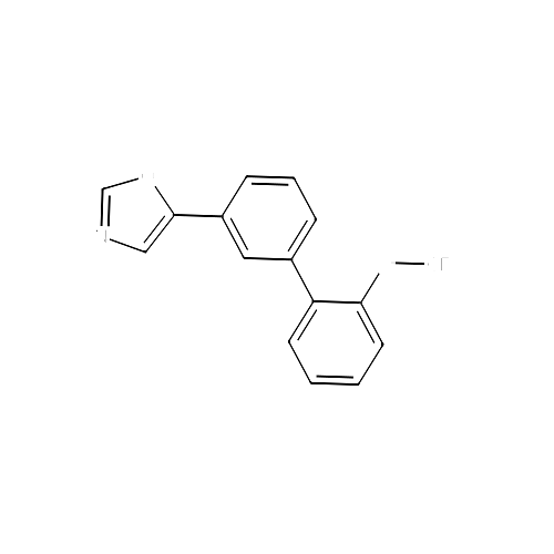 FC(F)(F)Oc1ccccc1-c1cccc(-c2cnco2)c1